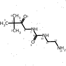 CC(C)(C)C(=O)CNC(=O)NCCN